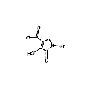 CCN1CC(C(=O)Cl)=C(O)C1=O